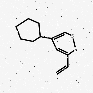 C=CC1=CC(C2CCCCC2)=CSS1